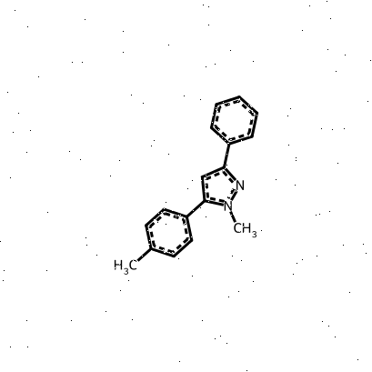 Cc1ccc(-c2cc(-c3ccccc3)nn2C)cc1